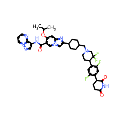 CC(C)Oc1cc2nc(C3CCC(CN4CCC(c5cc(F)c(C6CCC(=O)NC6=O)cc5F)C(F)(F)C4)CC3)cn2cc1C(=O)Nc1cnn2cccnc12